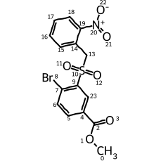 COC(=O)c1ccc(Br)c(S(=O)(=O)Cc2ccccc2[N+](=O)[O-])c1